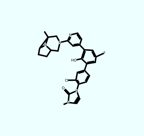 Cn1c#cn(-c2ccc(-c3cc(F)cc(-c4ccnc(N5CC6CCC7N6C7(C)C5)c4)c3O)cc2Cl)c1=O